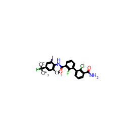 NC(=O)c1cccc(-c2cccc(C(=O)Nc3c(I)cc(C(F)(C(F)(F)F)C(F)(F)F)cc3C(F)(F)F)c2F)c1Cl